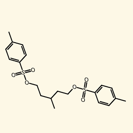 Cc1ccc(S(=O)(=O)OCCC(C)CCOS(=O)(=O)c2ccc(C)cc2)cc1